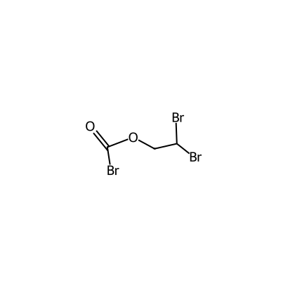 O=C(Br)OCC(Br)Br